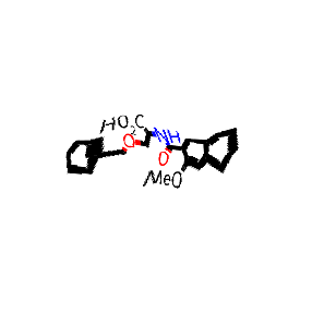 COc1cc2ccccc2cc1C(=O)NC(COCc1ccccc1)C(=O)O